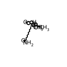 CC#C[C@]1(O)CC[C@H]2[C@@H]3CCC4=CC(=O)CCC4=C3[C@@H](CCCCCCCCCCC(N)=O)C[C@@]21C